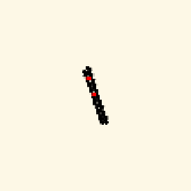 CCCCCCCCCCCCCCCCCCCCC.CCCCCCCCCCCCCCCCCCCCCC